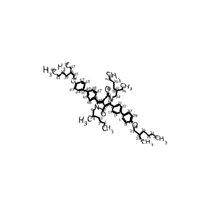 CCCCC(C)CN1C(=O)C2=C(c3ccc(-c4ccc(OCC(CC)CCCC)cc4)cc3)N(CC(CC)CCCC)C(=O)C2=C1c1ccc(-c2ccc(OCC(CC)CCCC)cc2)cc1